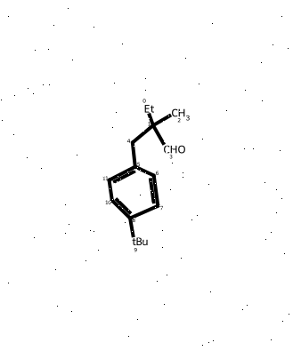 CCC(C)(C=O)Cc1ccc(C(C)(C)C)cc1